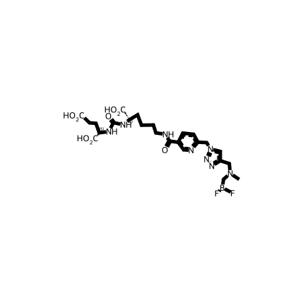 CN(CB(F)F)Cc1cn(Cc2ccc(C(=O)NCCCC[C@H](NC(=O)N[C@@H](CCC(=O)O)C(=O)O)C(=O)O)cn2)nn1